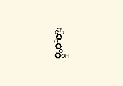 Oc1ccccc1Oc1ccc(Oc2cccc(OC(F)(F)F)c2)cc1